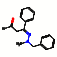 CCC(=O)C/C(=N\N(C)Cc1ccccc1)c1ccccc1